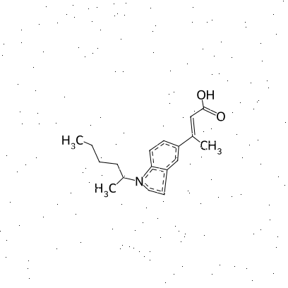 CCCCC(C)n1ccc2cc(/C(C)=C/C(=O)O)ccc21